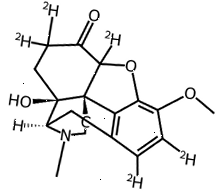 [2H]c1c([2H])c(OC)c2c3c1C[C@H]1N(C)CC[C@@]34C([2H])(O2)C(=O)C([2H])([2H])C[C@@]14O